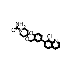 NC(=O)N1CCC2(CC1)OCc1cc(-c3ccc4cccnc4c3Cl)ccc1O2